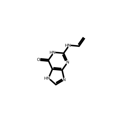 C=CNc1nc2nc[nH]c2c(=O)[nH]1